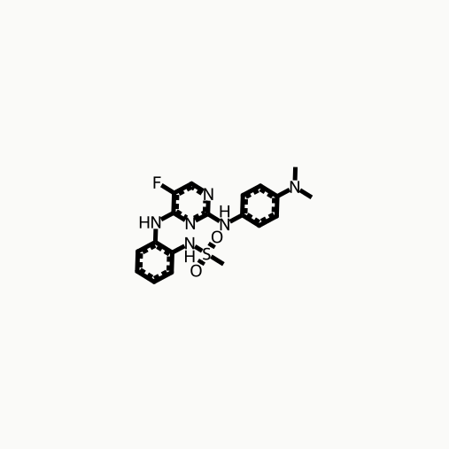 CN(C)c1ccc(Nc2ncc(F)c(Nc3ccccc3NS(C)(=O)=O)n2)cc1